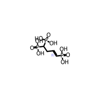 O=P(O)(O)/C=C/CC(P(=O)(O)O)P(=O)(O)O